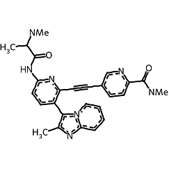 CNC(=O)c1ccc(C#Cc2nc(NC(=O)C(C)NC)ccc2-c2c(C)nc3ccccn23)cn1